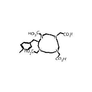 Cc1ccc(CC2CN(CC(=O)O)CCN(CC(=O)O)CCN(CC(=O)O)CCN2C(=O)O)cc1